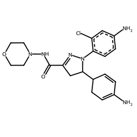 NC1=CCC(C2CC(C(=O)NN3CCOCC3)=NN2c2ccc(N)cc2Cl)C=C1